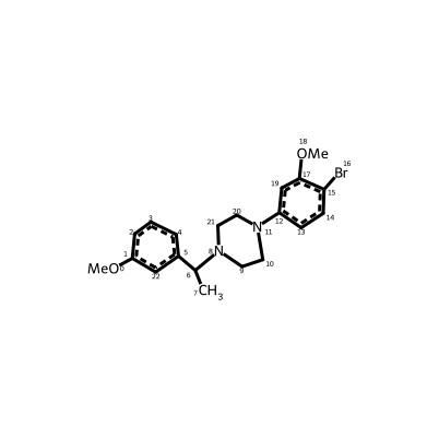 COc1cccc(C(C)N2CCN(c3ccc(Br)c(OC)c3)CC2)c1